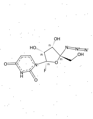 [N-]=[N+]=N[C@]1(CO)O[C@@](F)(n2ccc(=O)[nH]c2=O)[C@H](O)[C@@H]1O